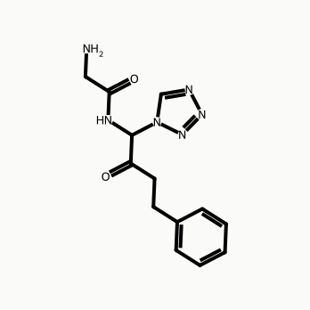 NCC(=O)NC(C(=O)CCc1ccccc1)n1cnnn1